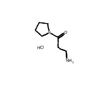 Cl.NCCC(=O)N1CCCC1